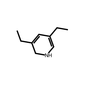 CCC1=CNCC(CC)=C1